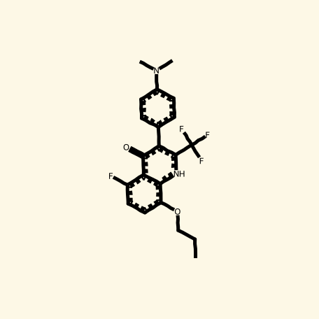 CCCOc1ccc(F)c2c(=O)c(-c3ccc(N(C)C)cc3)c(C(F)(F)F)[nH]c12